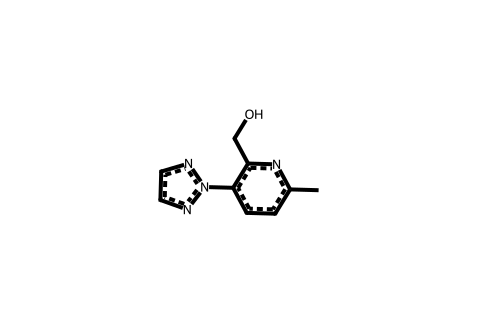 Cc1ccc(-n2nccn2)c(CO)n1